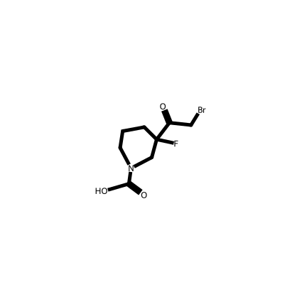 O=C(O)N1CCCC(F)(C(=O)CBr)C1